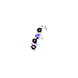 C/C(=N\NSc1ccc(C)cc1)c1ccc2c(c1)Nc1cc(F)ccc1O2